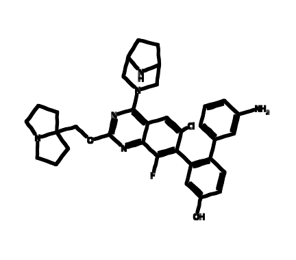 Nc1cccc(-c2ccc(O)cc2-c2c(Cl)cc3c(N4CC5CCC(C4)N5)nc(OCC45CCCN4CCC5)nc3c2F)c1